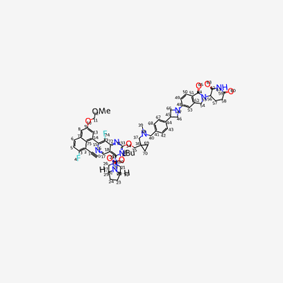 C#Cc1c(F)ccc2cc(OCOC)cc(-c3ncc4c(N5C[C@H]6CC[C@@H](C5)N6C(=O)OC(C)(C)C)nc(OCC5(CN(C)Cc6ccc(C7CN(c8ccc9c(c8)CN(C8CCC(=O)NC8=O)C9=O)C7)cc6)CC5)nc4c3F)c12